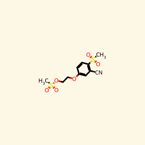 CS(=O)(=O)OCCOc1ccc(S(C)(=O)=O)c(C#N)c1